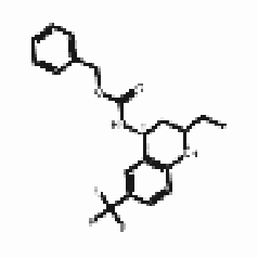 CCC1C[C@H](NC(=O)OCc2ccccc2)c2cc(C(F)(F)F)ccc2N1